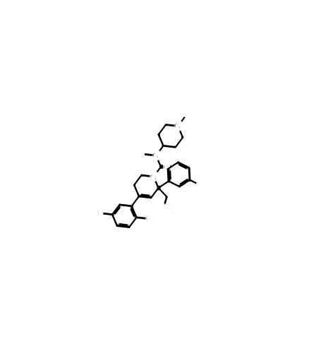 CN1CCC(N(C)C(=O)N2CCC(c3cc(F)ccc3F)=CC2(CO)c2cccc(O)c2)CC1